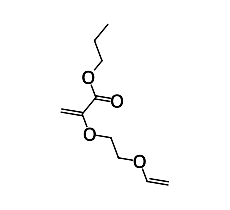 C=COCCOC(=C)C(=O)OCCC